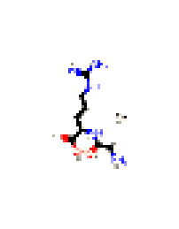 N=C(N)NCCCC(NC(=O)CN)C(=O)O.[Cu]